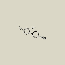 COc1ccc(-c2ccc([N+]#N)cc2)cc1.[Cl-]